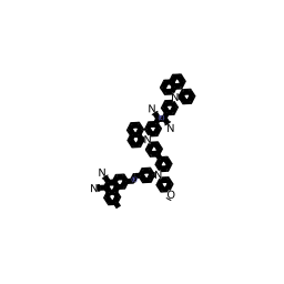 COc1ccc(N(c2ccc(/C=C/c3ccc4c(C#N)c(C#N)c5ccc(C)cc5c4c3)cc2)c2cccc(-c3ccc(N(c4ccc(/C(C#N)=C(\C#N)c5ccc(N(c6ccccc6)c6cccc7ccccc67)cc5)cc4)c4cccc5ccccc45)cc3)c2)cc1